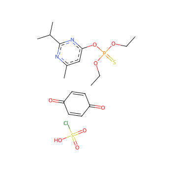 CCOP(=S)(OCC)Oc1cc(C)nc(C(C)C)n1.O=C1C=CC(=O)C=C1.O=S(=O)(O)Cl